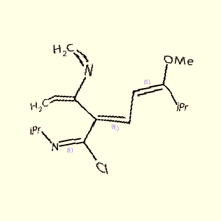 C=NC(=C)C(=C\C=C(\OC)C(C)C)/C(Cl)=N\C(C)C